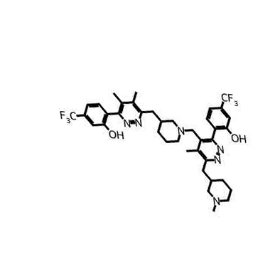 Cc1c(CC2CCCN(Cc3c(-c4ccc(C(F)(F)F)cc4O)nnc(CC4CCCN(C)C4)c3C)C2)nnc(-c2ccc(C(F)(F)F)cc2O)c1C